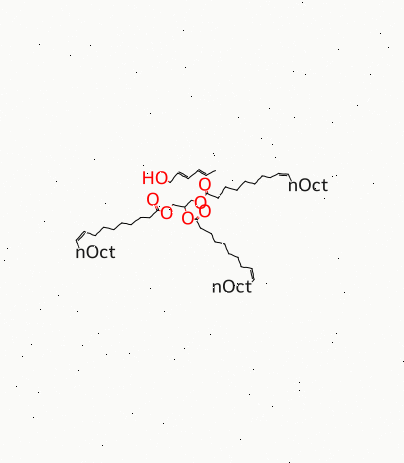 C/C=C/C=C/CO.CCCCCCCC/C=C\CCCCCCCC(=O)OCC(COC(=O)CCCCCCC/C=C\CCCCCCCC)OC(=O)CCCCCCC/C=C\CCCCCCCC